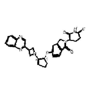 O=C1CCC(N2Cc3cc(O[C@@H]4CCC[C@H]4N4CC(c5cnc6ccccc6n5)C4)ccc3C2=O)C(=O)N1